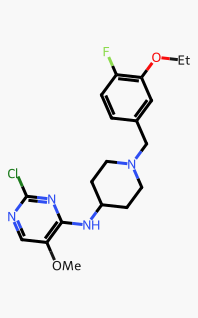 CCOc1cc(CN2CCC(Nc3nc(Cl)ncc3OC)CC2)ccc1F